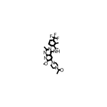 COc1nc2nc(C)nc(N[C@H](C)c3cccc(C(F)(F)F)c3C)c2cc1N1CCN(C(C)=O)CC1